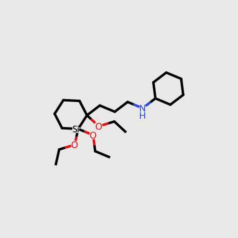 CCOC1(CCCNC2CCCCC2)CCCC[Si]1(OCC)OCC